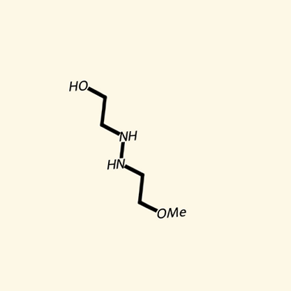 COCCNNCCO